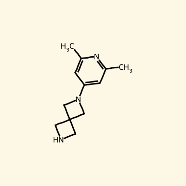 Cc1cc(N2CC3(CNC3)C2)cc(C)n1